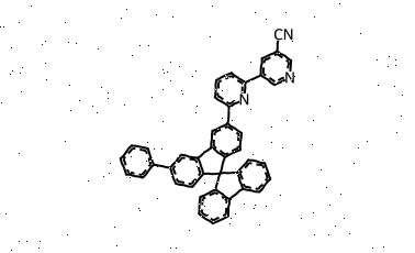 N#Cc1cncc(-c2cccc(-c3ccc4c(c3)-c3cc(-c5ccccc5)ccc3C43c4ccccc4-c4ccccc43)n2)c1